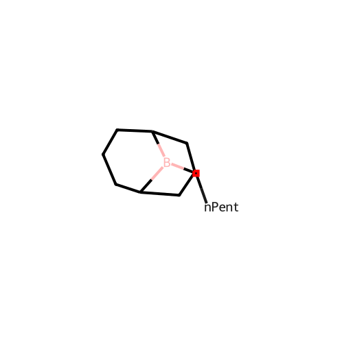 CCCCCCB1C2CCCC1CCC2